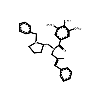 COc1cc(C(=O)N(C/C(C)=C/c2ccccc2)C[C@@H]2CCCN2Cc2ccccc2)cc(OC)c1OC